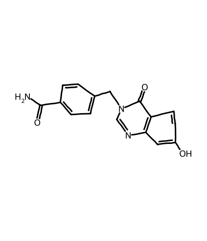 NC(=O)c1ccc(Cn2cnc3cc(O)ccc3c2=O)cc1